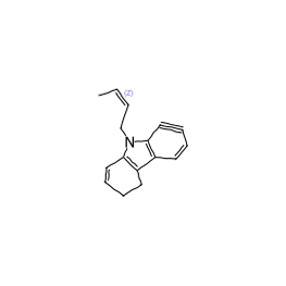 C/C=C\Cn1c2c(c3ccc#cc31)CCC=C2